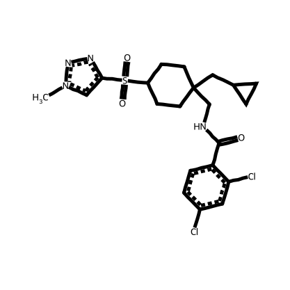 Cn1cc(S(=O)(=O)C2CCC(CNC(=O)c3ccc(Cl)cc3Cl)(CC3CC3)CC2)nn1